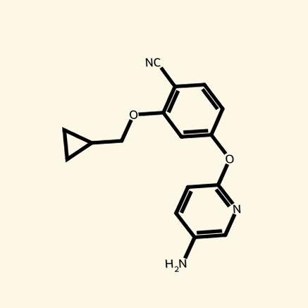 N#Cc1ccc(Oc2ccc(N)cn2)cc1OCC1CC1